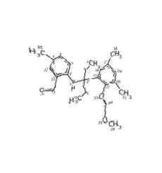 CCC(CC)(Pc1ccc(C)cc1C=O)c1cc(C)cc(C)c1OCOC